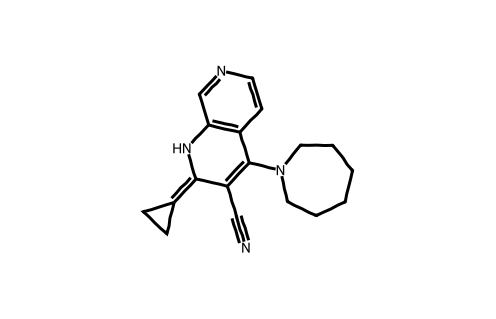 N#CC1=C(N2CCCCCC2)c2ccncc2NC1=C1CC1